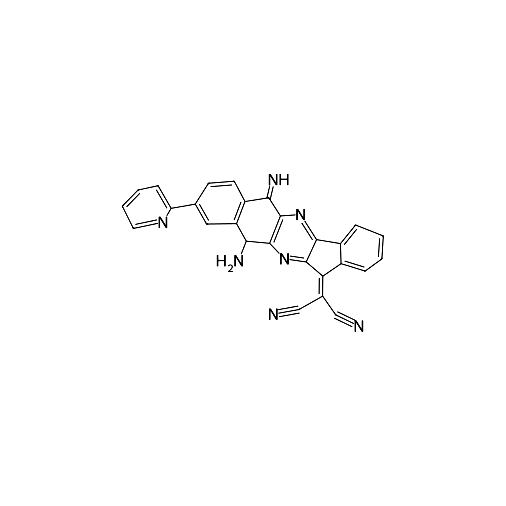 N#CC(C#N)=C1c2ccccc2-c2nc3c(nc21)C(N)c1cc(-c2ccccn2)ccc1C3=N